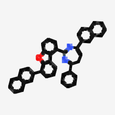 C1=C(c2ccc3ccccc3c2)N=C(c2cccc3oc4c(-c5ccc6ccccc6c5)cccc4c23)N=C(c2ccccc2)C1